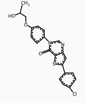 CC(O)COc1ccc(-n2cnc3cc(-c4ccc(Cl)cc4)sc3c2=O)cc1